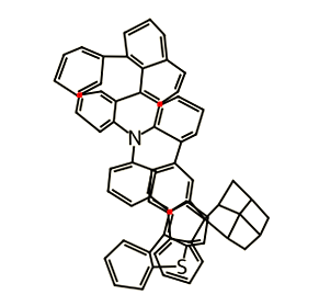 c1ccc(-c2cccc3cccc(-c4ccccc4N(c4cccc(-c5cccc6sc7ccccc7c56)c4)c4ccccc4-c4ccc5c(c4)C4(c6ccccc6-5)C5CC6CC7CC4C675)c23)cc1